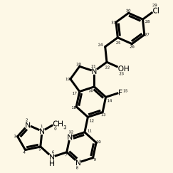 Cn1nccc1Nc1nccc(-c2cc(F)c3c(c2)CCN3C(O)Cc2ccc(Cl)cc2)n1